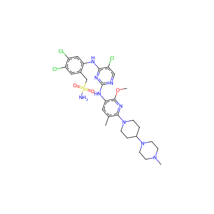 COc1nc(N2CCC(N3CCN(C)CC3)CC2)c(C)cc1Nc1ncc(Cl)c(Nc2cc(Cl)c(Cl)cc2CS(N)(=O)=O)n1